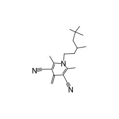 C=C1C(C#N)=C(C)N(CCC(C)CC(C)(C)C)C(C)=C1C#N